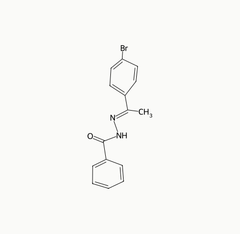 C/C(=N\NC(=O)c1ccccc1)c1ccc(Br)cc1